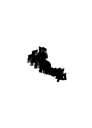 O=C(Nc1ccc(OC(F)(F)C(F)Cl)cc1)Nc1cc(C(F)(F)F)cc(C(F)(F)F)c1